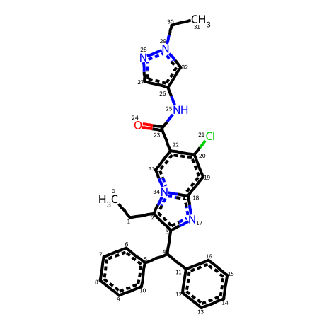 CCc1c(C(c2ccccc2)c2ccccc2)nc2cc(Cl)c(C(=O)Nc3cnn(CC)c3)cn12